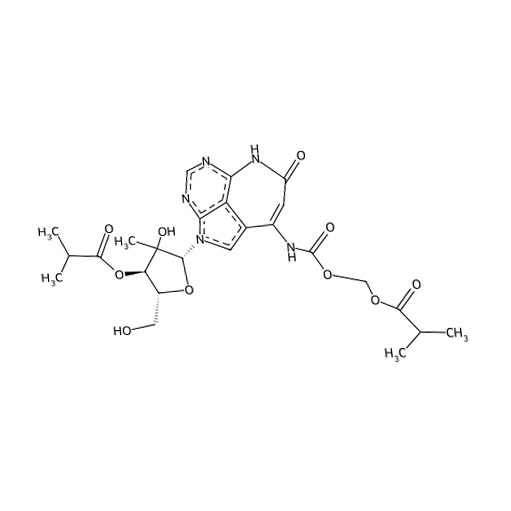 CC(C)C(=O)OCOC(=O)NC1=CC(=O)Nc2ncnc3c2c1cn3[C@@H]1O[C@H](CO)[C@@H](OC(=O)C(C)C)C1(C)O